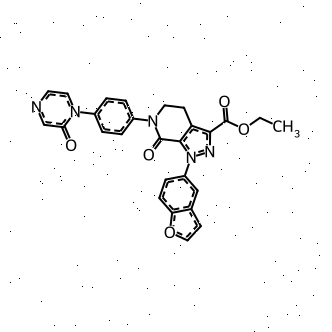 CCOC(=O)c1nn(-c2ccc3occc3c2)c2c1CCN(c1ccc(-n3ccncc3=O)cc1)C2=O